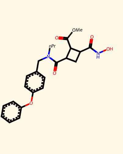 CCCN(Cc1ccc(Oc2ccccc2)cc1)C(=O)C1CC(C(=O)NO)C1C(=O)OC